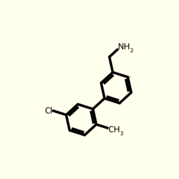 Cc1ccc(Cl)cc1-c1cc[c]c(CN)c1